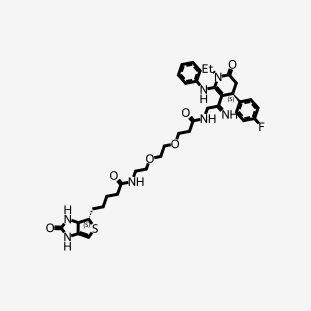 CCN1C(=O)C[C@@H](c2ccc(F)cc2)C(C(=N)CNC(=O)CCOCCOCCNC(=O)CCCC[C@@H]2SC=C3NC(=O)NC32)=C1Nc1ccccc1